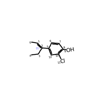 C/C=C(\CC)c1ccc(O)c(Cl)c1